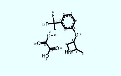 CC1NCC1Oc1cccc(C(F)(F)F)c1.O=C(O)C(=O)O